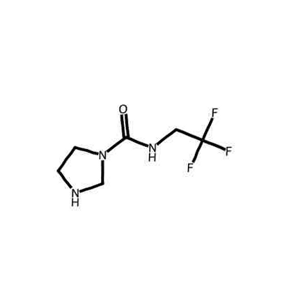 O=C(NCC(F)(F)F)N1CCNC1